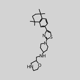 CC1(C)CCC(C)(C)c2cc(-c3csc(N4CCC(NCC5CNCCO5)CC4)n3)ccc21